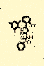 COc1ccccc1-c1cc(NS(=O)(=O)c2ccccc2)nn1-c1c(C)cc(C)cc1C